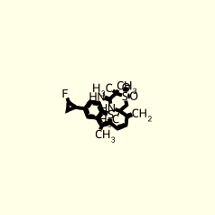 C=C(/C=C\c1sc2ccc(C3CC3F)cc2c1C)[C@]1(C)CS(=O)(=O)C(C)(C)C(=N)N1